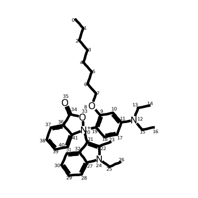 CCCCCCCCOc1cc(N(CC)CC)ccc1[N+]1(c2c(C)n(CC)c3ccccc23)OC(=O)c2ccccc21